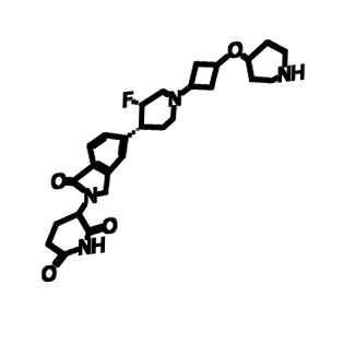 O=C1CCC(N2Cc3cc([C@H]4CCN(C5CC(OC6CCNCC6)C5)C[C@H]4F)ccc3C2=O)C(=O)N1